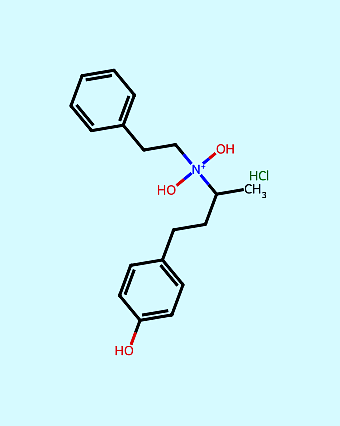 CC(CCc1ccc(O)cc1)[N+](O)(O)CCc1ccccc1.Cl